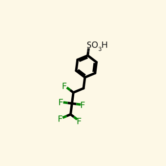 O=S(=O)(O)c1ccc(CC(F)C(F)(F)C(F)F)cc1